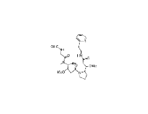 CCC(C)C(C(CC(=O)N1CCCC1C(CC(=O)NCCc1ccccc1)OC)OC)N(C)C(=O)CNC=O